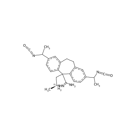 CC(N=C=O)c1ccc2c(c1)CCc1cc(C(C)N=C=O)ccc1C2(C[C@H](C)N)C(=N)N